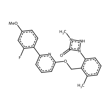 COc1ccc(-c2cccc(OCc3c(C)cccc3-n3[nH]n(C)c3=O)n2)c(F)c1